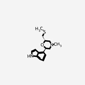 CSC[C@@H]1CN(C)C[C@@H](c2cccc3[nH]ccc23)O1